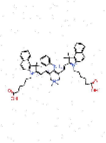 CC1(C)C(/C=C/C2=C(Nc3ccccc3)C(=C/C=C3/N(CCCCCC(=O)O)c4ccc5ccccc5c4C3(C)C)/C[N+](C)(C)C2)=[N+](CCCCCC(=O)O)c2ccc3ccccc3c21